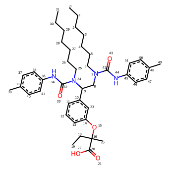 CCCCCCCN(CC(c1cccc(OC(C)(CC)C(=O)O)c1)N(CCCCCCC)C(=O)Nc1ccc(C)cc1)C(=O)Nc1ccc(C)cc1